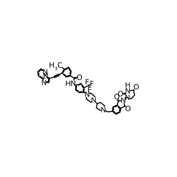 Cc1ccc(C(=O)Nc2ccc(N3CCN(C4CCN(Cc5ccc6c(c5)C(=O)N(N5CCC(=O)NC5=O)C6=O)CC4)CC3)c(C(F)(F)F)c2)cc1C#Cc1cnc2cccnn12